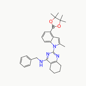 Cc1cc2c(B3OC(C)(C)C(C)(C)O3)cccc2n1-c1nc2c(c(NCc3ccccc3)n1)CCCC2